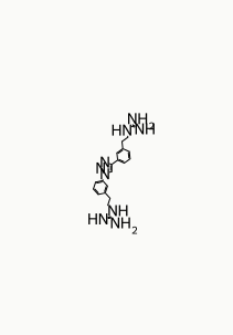 N=C(N)NCCc1cccc(-c2cn(-c3cccc(CCNC(=N)N)c3)nn2)c1